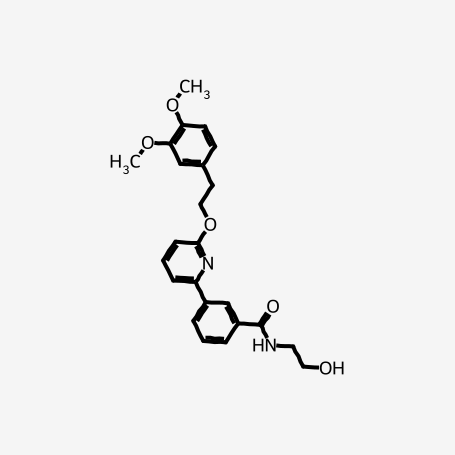 COc1ccc(CCOc2cccc(-c3cccc(C(=O)NCCO)c3)n2)cc1OC